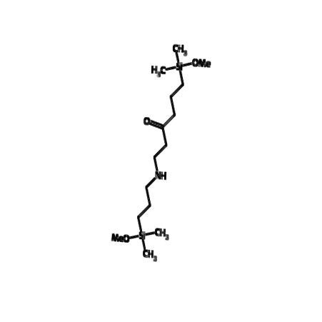 CO[Si](C)(C)CCCNCCC(=O)CCC[Si](C)(C)OC